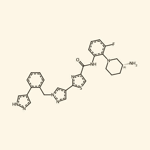 N[C@@H]1CCCN(c2c(F)cccc2NC(=O)c2csc(-c3cnn(Cc4ccccc4-c4cn[nH]c4)c3)n2)C1